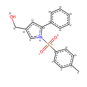 Cc1ccc(S(=O)(=O)n2cc(CO)cc2-c2ccccc2)cc1